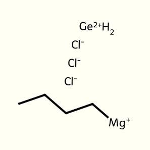 CCC[CH2][Mg+].[Cl-].[Cl-].[Cl-].[GeH2+2]